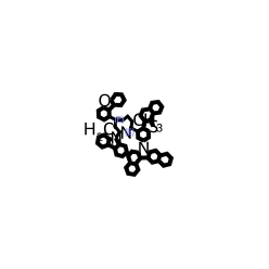 C=C1/C(c2cccc3oc4ccccc4c23)=C/CC(C)/C(c2cc(-n3c4cc5ccccc5cc4c4c5ccccc5ccc43)cc3sc4c5ccccc5ccc4c23)=N\C1n1c2ccccc2c2ccccc21